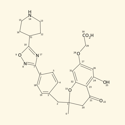 CC1(Cc2ccc(-c3noc(C4CCNCC4)n3)cc2)CC(=O)c2c(O)cc(OCC(=O)O)cc2O1